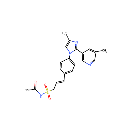 CCCC(=O)NS(=O)(=O)CC=Cc1ccc(-n2cc(C(F)(F)F)nc2-c2cncc(C)c2)cc1